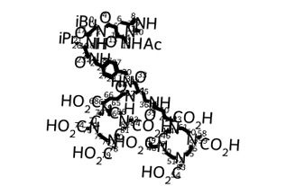 CCC(C)[C@H](NC(=O)[C@H](Cc1c[nH]cn1)C(=O)CNC(C)=O)C(=O)N[C@@H](CC(C)C)C(=O)NCc1ccc(CNC(=O)[C@H](CCNC(=O)CCC(C(=O)O)N2CCN(CC(=O)O)CCN(CC(=O)O)CCN(CC(=O)O)CC2)NC(=O)CCC(C(=O)O)N2CCN(CC(=O)O)CCN(CC(=O)O)CCN(CC(=O)O)CC2)cc1